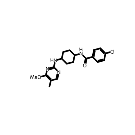 COc1nc(NC2CCC(NC(=O)c3ccc(Cl)cc3)CC2)ncc1C